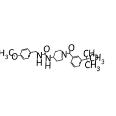 COc1ccc(CNC(=O)NC2CCN(C(=O)c3cccc(C(C)(C)C)c3)CC2)cc1